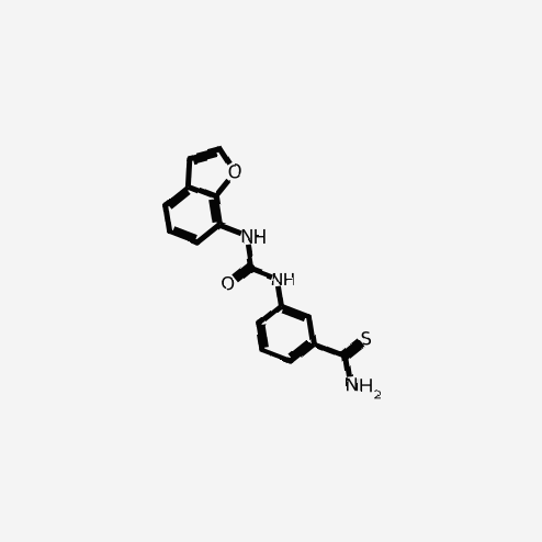 NC(=S)c1cccc(NC(=O)Nc2cccc3ccoc23)c1